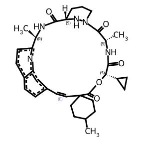 CC1CCC2(/C=C/c3ccc4ccc(nc4c3)[C@@H](C)NC(=O)[C@@H]3CCCN(N3)C(=O)[C@H](C)NC(=O)[C@H](C3CC3)OC2=O)CC1